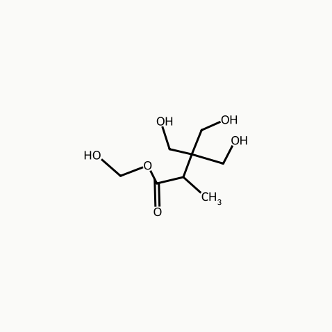 CC(C(=O)OCO)C(CO)(CO)CO